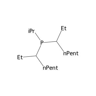 CCCCCC(CC)P(C(C)C)C(CC)CCCCC